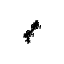 CCC(C)=C=Cc1ccccc1NC(=O)CCCCCC(=O)Nc1ccc(C)cc1